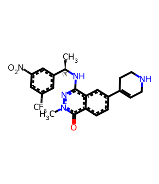 C[C@@H](Nc1nn(C)c(=O)c2ccc(C3=CCNCC3)cc12)c1cc([N+](=O)[O-])cc(C(F)(F)F)c1